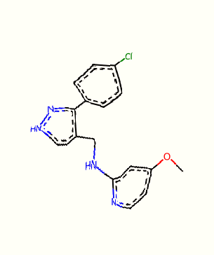 COc1ccnc(NCc2c[nH]nc2-c2ccc(Cl)cc2)c1